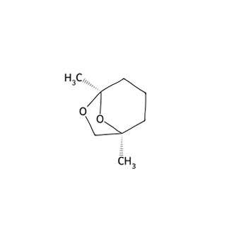 C[C@]12CCC[C@](C)(OC1)O2